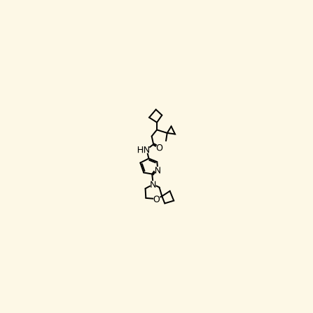 CC1(C(CC(=O)Nc2ccc(N3CCOC4(CCC4)C3)nc2)C2CCC2)CC1